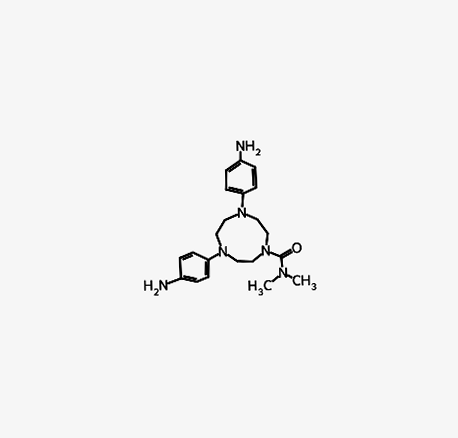 CN(C)C(=O)N1CCN(c2ccc(N)cc2)CCN(c2ccc(N)cc2)CC1